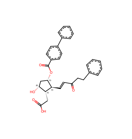 O=C(O)C[C@H]1[C@H](C=CC(=O)CCc2ccccc2)[C@@H](OC(=O)c2ccc(-c3ccccc3)cc2)C[C@H]1O